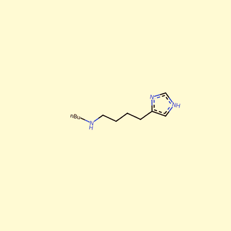 CCCCNCCCCc1c[nH]cn1